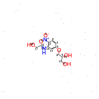 O=[N+]([O-])c1ccc(OCC(O)CO)cc1NCCO